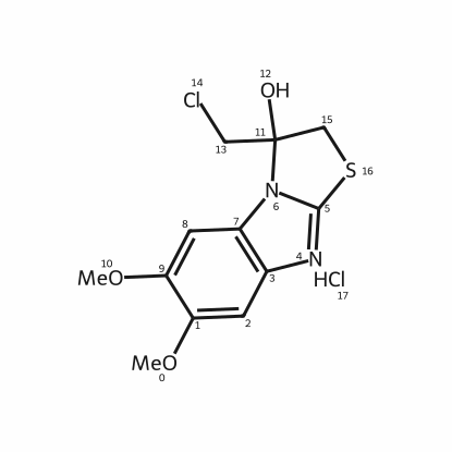 COc1cc2nc3n(c2cc1OC)C(O)(CCl)CS3.Cl